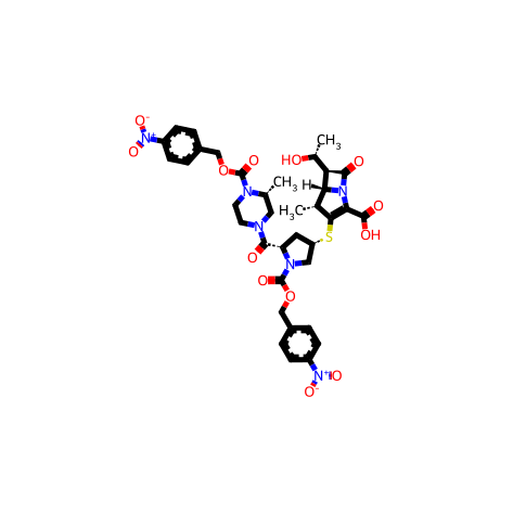 C[C@@H]1CN(C(=O)[C@@H]2C[C@H](SC3=C(C(=O)O)N4C(=O)[C@H]([C@@H](C)O)[C@H]4[C@H]3C)CN2C(=O)OCc2ccc([N+](=O)[O-])cc2)CCN1C(=O)OCc1ccc([N+](=O)[O-])cc1